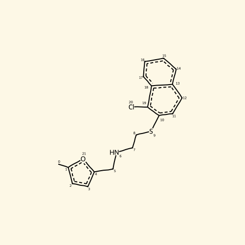 Cc1ccc(CNCCSc2ccc3ccccc3c2Cl)o1